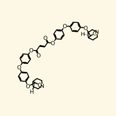 O=C(/C=C/C(=O)Oc1ccc(Oc2ccc(O[C@H]3CN4CCC3CC4)cc2)cc1)Oc1ccc(Oc2ccc(O[C@H]3CN4CCC3CC4)cc2)cc1